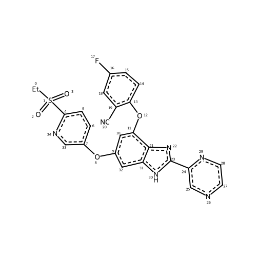 CCS(=O)(=O)c1ccc(Oc2cc(Oc3ccc(F)cc3C#N)c3nc(-c4cnccn4)[nH]c3c2)cn1